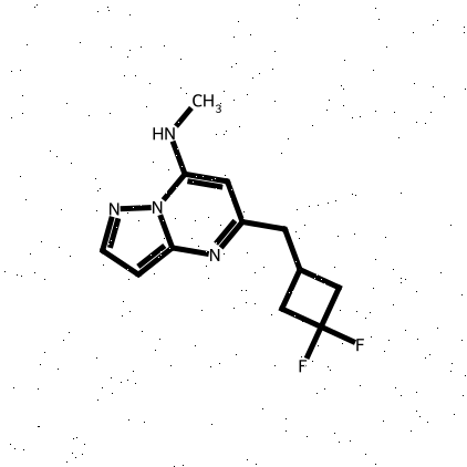 CNc1cc(CC2CC(F)(F)C2)nc2ccnn12